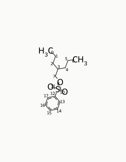 CCCC(CCC)COS(=O)(=O)c1ccccc1